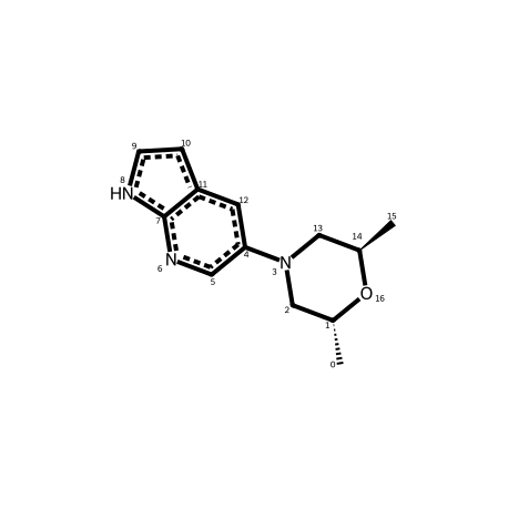 C[C@@H]1CN(c2cnc3[nH]ccc3c2)C[C@@H](C)O1